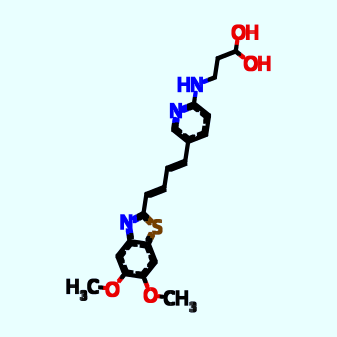 COc1cc2nc(/C=C/C=C/c3ccc(NCCC(O)O)nc3)sc2cc1OC